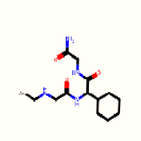 CC(=O)CNCC(=O)NC(C(=O)NCC(N)=O)C1CCCCC1